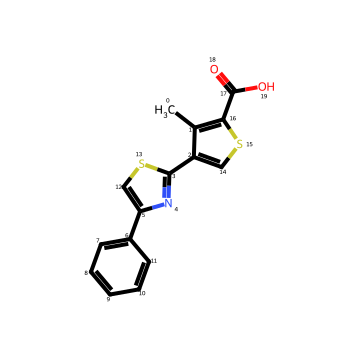 Cc1c(-c2nc(-c3ccccc3)cs2)csc1C(=O)O